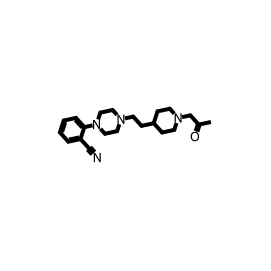 CC(=O)CN1CCC(CCN2CCN(c3ccccc3C#N)CC2)CC1